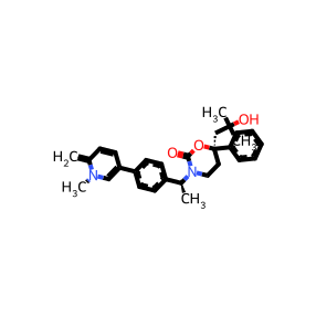 C=C1C=CC(c2ccc([C@H](C)N3CC[C@](CC(C)(C)O)(c4ccccc4)OC3=O)cc2)=CN1C